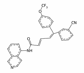 N#Cc1cccc(C(=CC=CC(=O)Nc2cccc3cnccc23)c2ccc(OC(F)(F)F)cc2)c1